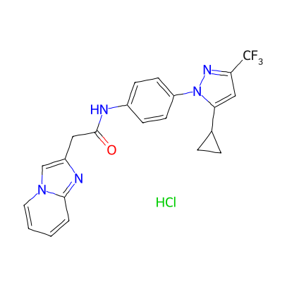 Cl.O=C(Cc1cn2ccccc2n1)Nc1ccc(-n2nc(C(F)(F)F)cc2C2CC2)cc1